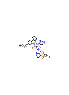 CS(=O)(=O)c1cccnc1CN1CCC2(CC1)C(=O)N(c1cc(C(=O)O)ccc1-c1ccccc1)C(=O)N2c1ccncn1